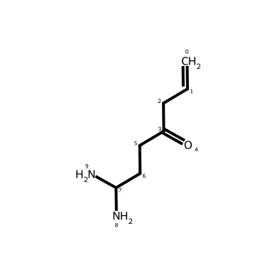 C=CCC(=O)CCC(N)N